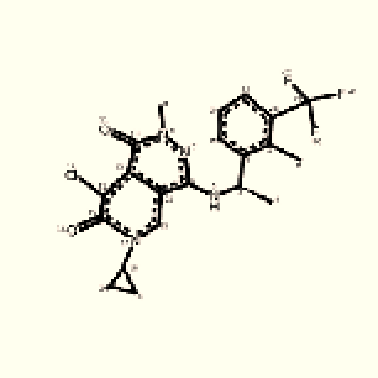 Cc1c([C@@H](C)Nc2nn(C)c(=O)c3c(Cl)c(=O)n(C4CC4)cc23)cccc1C(F)(F)F